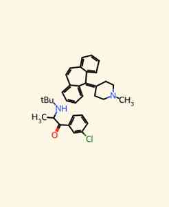 CC(NC(C)(C)C)C(=O)c1cccc(Cl)c1.CN1CCC(=C2c3ccccc3C=Cc3ccccc32)CC1